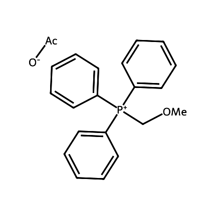 CC(=O)[O-].COC[P+](c1ccccc1)(c1ccccc1)c1ccccc1